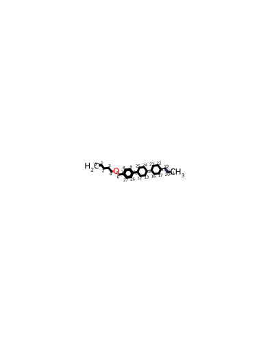 C=CCCCOCc1ccc(C2CCC([C@H]3CC[C@H](/C=C/C)CC3)CC2)cc1